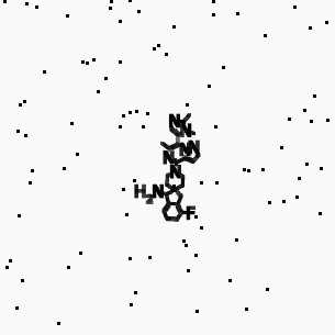 Cc1nc(N2CCC3(CC2)Cc2c(F)cccc2[C@H]3N)c2ccnn2c1-c1cnc(C)n1C